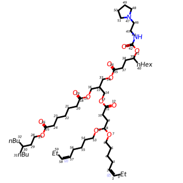 CC/C=C\CCCCOC(CCC(=O)OCC(COC(=O)CCCCCC(=O)OCCC(CCCC)CCCC)COC(=O)CCC(CCCCCC)OC(=O)NCCN1CCCC1)OCCCC/C=C\CC